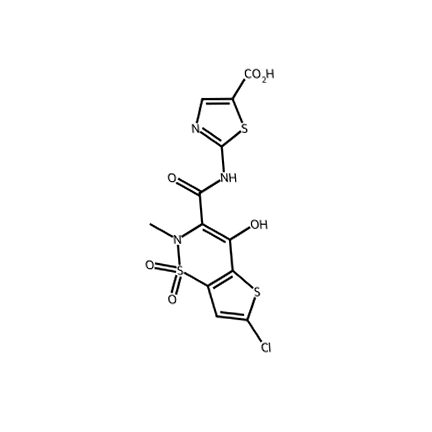 CN1C(C(=O)Nc2ncc(C(=O)O)s2)=C(O)c2sc(Cl)cc2S1(=O)=O